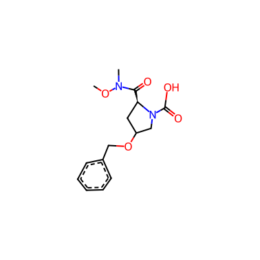 CON(C)C(=O)[C@@H]1CC(OCc2ccccc2)CN1C(=O)O